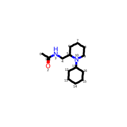 CC(=O)NCC1CCCCN1C1CCCCC1